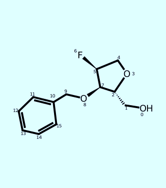 OC[C@H]1OC[C@H](F)[C@@H]1OCc1ccccc1